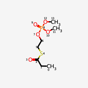 CCC(=O)SCCOP(=O)(OC)OC